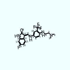 CN(C)CCNc1ccc(N/C=C2/C(=O)Nc3cc(F)ccc32)cc1C(F)(F)F